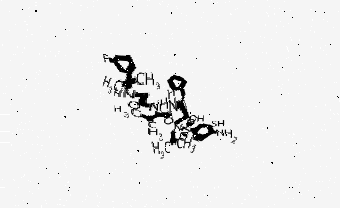 CC(C)CN(C[C@@H](O)[C@H](Cc1ccccc1)NC(=O)[C@@H](NC(=O)CNC(C)(C)c1cccc(F)c1)C(C)C)S(=O)(=O)c1ccc(N)c(S)c1